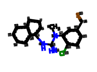 CN(C(=N)Nc1cccc2ccccc12)c1cc(C=S)ccc1Cl